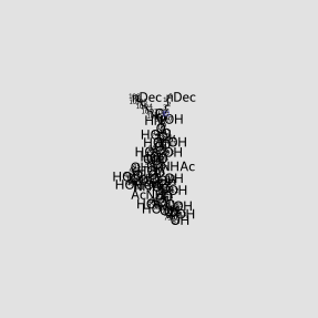 CCCCCCCCCCCCC/C=C/[C@@H](O)[C@H](CO[C@@H]1OC(CO)[C@@H](O[C@@H]2OC(CO)[C@H](O)[C@H](O[C@@H]3OC(CO)[C@@H](O)[C@H](O[C@@H]4OC(CO[C@@H]5OC(CO)[C@@H](O)[C@H](O)C5NC(C)=O)[C@H](O)[C@H](O[C@@H]5OC(CO)[C@@H](O)[C@H](O[C@@H]6OC(CO)[C@H](O)[C@H](O)C6O[C@H]6OC(C)[C@@H](O)C(O)[C@@H]6O)C5NC(C)=O)C4O)C3NC(C)=O)C2O)[C@H](O)C1O)NC(=O)CCCCCCCCCCCCCCCCC